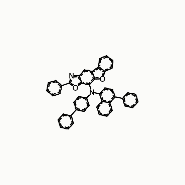 c1ccc(-c2ccc(N(c3ccc(-c4ccccc4)c4ccccc34)c3c4oc(-c5ccccc5)nc4cc4c3oc3ccccc34)cc2)cc1